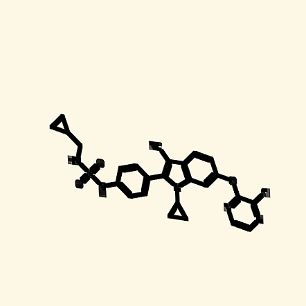 N#Cc1c(-c2ccc(NS(=O)(=O)NCC3CC3)cc2)n(C2CC2)c2cc(Oc3nccnc3Cl)ccc12